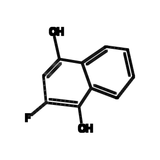 Oc1cc(F)c(O)c2ccccc12